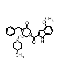 COc1cccc2[nH]c(C(=O)N3CC(=O)N(Cc4ccccc4)[C@@H](CN4CCC(C)CC4)C3)cc12